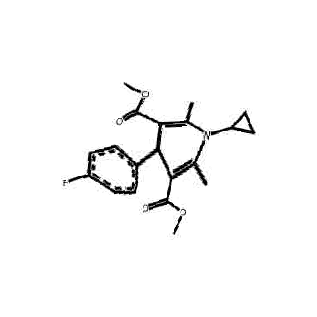 COC(=O)C1=C(C)N(C2CC2)C(C)=C(C(=O)OC)C1c1ccc(F)cc1